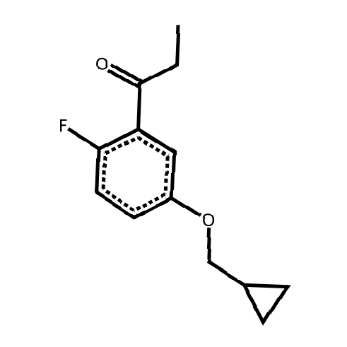 CCC(=O)c1cc(OCC2CC2)ccc1F